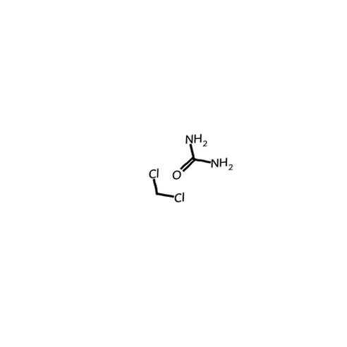 ClCCl.NC(N)=O